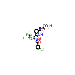 C[C@H](Cc1c[nH]c2c(C(=O)N[C@@H](C)C(=O)O)cccc12)NC[C@H](O)c1cccc(Cl)c1.O=C(O)C(F)(F)F